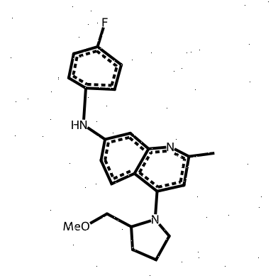 COCC1CCCN1c1cc(C)nc2cc(Nc3ccc(F)cc3)ccc12